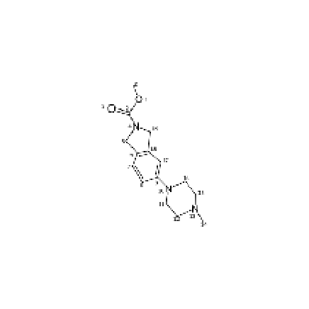 COC(=O)N1Cc2ccc(N3CCN(C)CC3)cc2C1